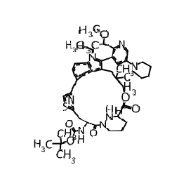 CCn1c(-c2cc(N3CCCCC3)cnc2[C@H](C)OC)c2c3cc(ccc31)-c1csc(n1)C[C@H](NC(=O)OC(C)(C)C)C(=O)N1CCC[C@H](N1)C(=O)OCC(C)(C)C2